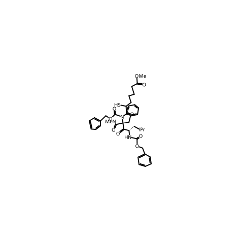 CNC(=O)[C@@](Cc1ccccc1)(C(=O)[C@H](CC(C)C)NC(=O)OCc1ccccc1)N(C(=O)OCc1ccccc1)C(=O)C(S)CCCCC(=O)OC